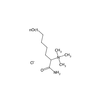 CCCCCCCCCCCCC(C(N)=O)[N+](C)(C)C.[Cl-]